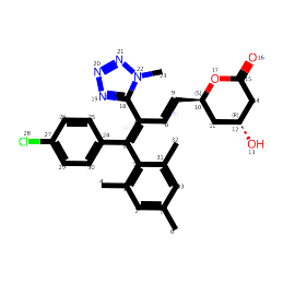 Cc1cc(C)c(/C(=C(\C=C\[C@@H]2C[C@@H](O)CC(=O)O2)c2nnnn2C)c2ccc(Cl)cc2)c(C)c1